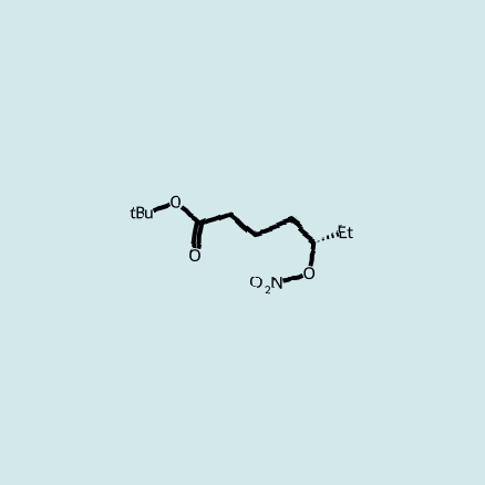 CC[C@@H](CCCC(=O)OC(C)(C)C)O[N+](=O)[O-]